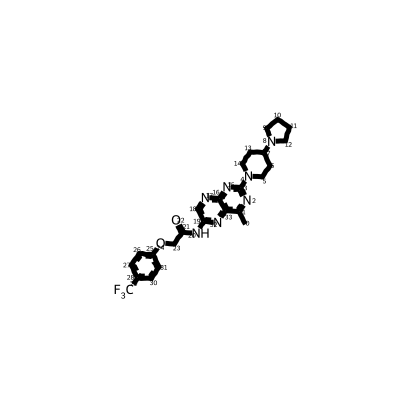 Cc1nc(N2CCC(N3CCCC3)CC2)nc2ncc(NC(=O)COc3ccc(C(F)(F)F)cc3)nc12